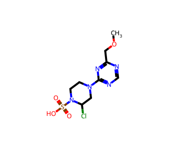 COCc1ncnc(N2CCN(S(=O)(=O)O)C(Cl)C2)n1